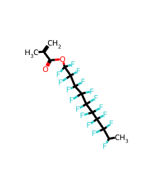 C=C(C)C(=O)OC(F)(F)C(F)(F)C(F)(F)C(F)(F)C(F)(F)C(F)(F)C(F)(F)C(F)(F)C(C)F